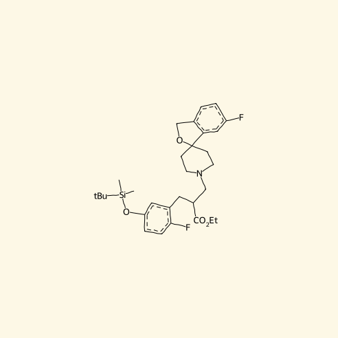 CCOC(=O)C(Cc1cc(O[Si](C)(C)C(C)(C)C)ccc1F)CN1CCC2(CC1)OCc1ccc(F)cc12